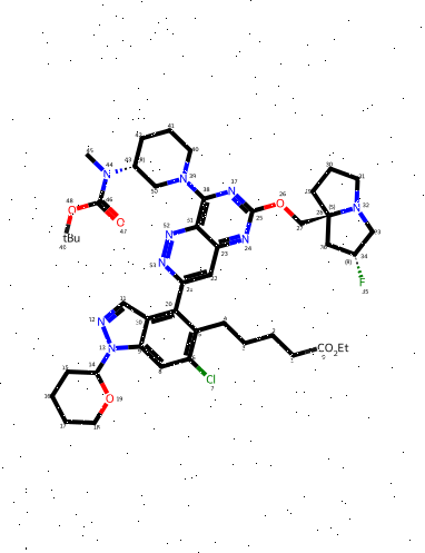 CCOC(=O)CCCCc1c(Cl)cc2c(cnn2C2CCCCO2)c1-c1cc2nc(OC[C@@]34CCCN3C[C@H](F)C4)nc(N3CCC[C@@H](N(C)C(=O)OC(C)(C)C)C3)c2nn1